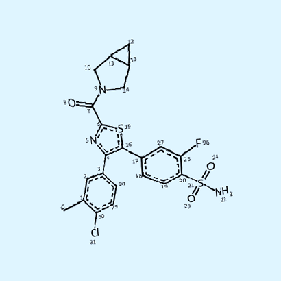 Cc1cc(-c2nc(C(=O)N3CC4CC4C3)sc2-c2ccc(S(N)(=O)=O)c(F)c2)ccc1Cl